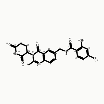 Cc1nc2ccc(CNC(=O)c3ccc(C(F)(F)F)cc3S)cc2c(=O)n1C1CCC(=O)NC1=O